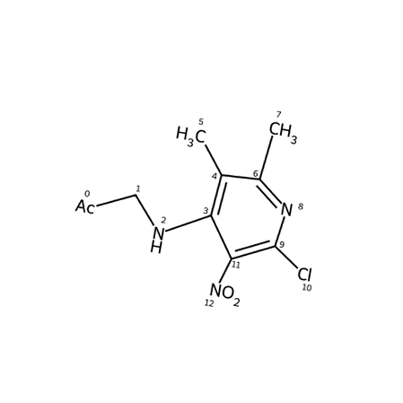 CC(=O)CNc1c(C)c(C)nc(Cl)c1[N+](=O)[O-]